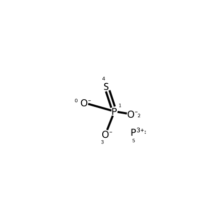 [O-]P([O-])([O-])=S.[P+3]